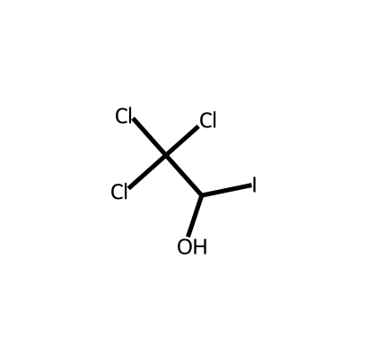 OC(I)C(Cl)(Cl)Cl